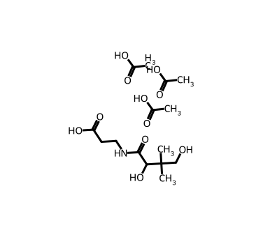 CC(=O)O.CC(=O)O.CC(=O)O.CC(C)(CO)C(O)C(=O)NCCC(=O)O